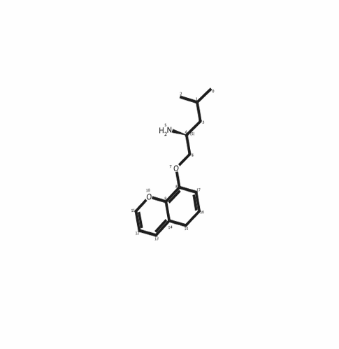 CC(C)C[C@H](N)COC1=C2OC=CC=C2CC=C1